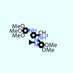 COc1cc2nc(C3CC3)nc(N[C@H](C)c3cccc(Nc4cc(OC)c(OC)c(OC)c4)c3)c2cc1OC